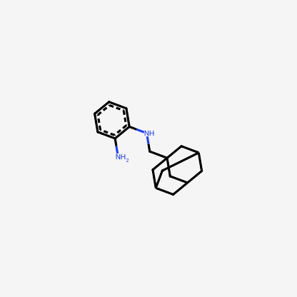 Nc1ccccc1NCC12CC3CC(CC(C3)C1)C2